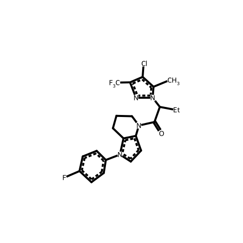 CCC(C(=O)N1CCCc2c1ccn2-c1ccc(F)cc1)n1nc(C(F)(F)F)c(Cl)c1C